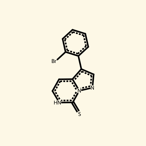 S=c1[nH]ccc2c(-c3ccccc3Br)cnn12